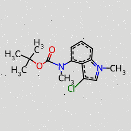 CN(C(=O)OC(C)(C)C)c1cccc2c1c(Cl)cn2C